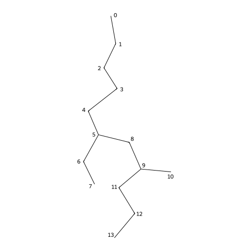 CCCCCC(CC)CC(C)CCC